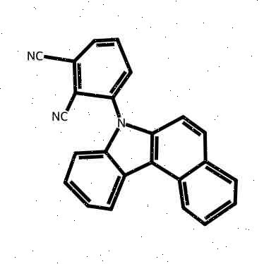 N#Cc1cccc(-n2c3ccccc3c3c4ccccc4ccc32)c1C#N